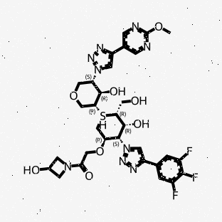 COc1ncc(-c2cn([C@H]3COC[C@@H]([SH]4C[C@H](OCC(=O)N5CC(O)C5)[C@@H](n5cc(-c6cc(F)c(F)c(F)c6)nn5)[C@@H](O)[C@H]4CO)[C@@H]3O)nn2)cn1